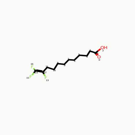 O=C(O)CCCCCCCCCC(F)=C(F)F